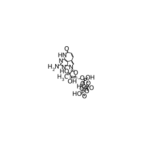 C[C@@]1(O)[C@H](O)[C@@H](COP(=O)(O)OP(=O)(O)OP(=O)(O)O)O[C@H]1n1cc2c3c(nc(N)nc31)NC(=O)C=C2